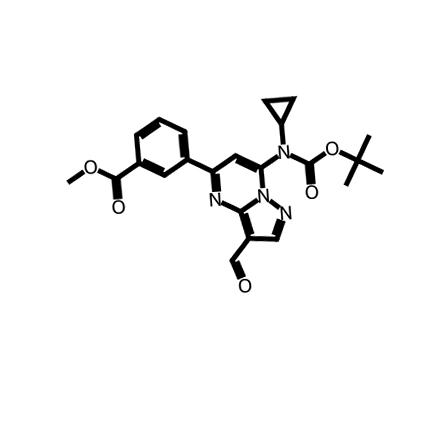 COC(=O)c1cccc(-c2cc(N(C(=O)OC(C)(C)C)C3CC3)n3ncc(C=O)c3n2)c1